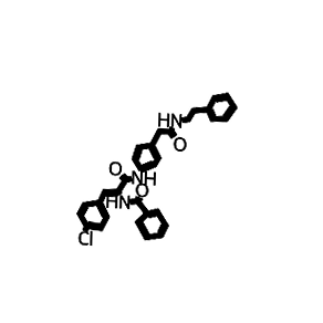 O=C(Cc1ccc(NC(=O)/C(=C/c2ccc(Cl)cc2)NC(=O)c2ccccc2)cc1)NCCc1ccccc1